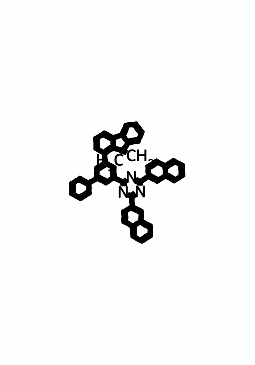 CC1(C)c2ccccc2-c2cccc(-c3cc(-c4ccccc4)cc(-c4nc(-c5ccc6ccccc6c5)nc(-c5ccc6ccccc6c5)n4)c3)c21